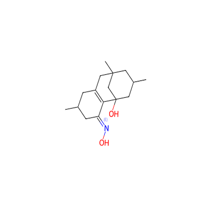 CC1CC2=C(/C(=N/O)C1)C1(O)CC(C)CC(C)(C2)C1